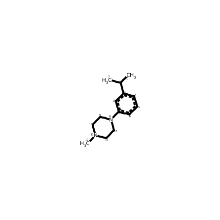 CC(C)c1cc[c]c(N2CCN(C)CC2)c1